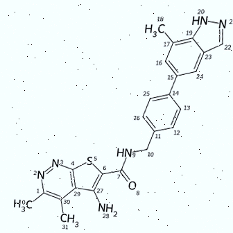 Cc1nnc2sc(C(=O)NCc3ccc(-c4cc(C)c5[nH]ncc5c4)cc3)c(N)c2c1C